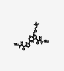 C[C@H](NC(=O)c1cn(COCC[Si](C)(C)C)c2ncc(-c3ccc(C(=O)N[C@H](C)C(C)(C)C)s3)nc12)C(C)(C)C